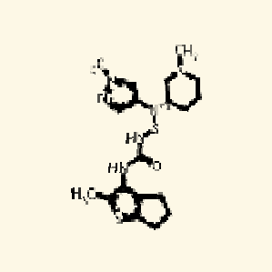 Cc1sc2c(c1NC(=O)NSN(c1cnn(C)c1)[C@H]1CCCN(C)C1)CCC2